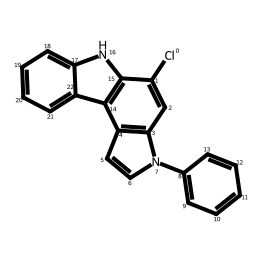 Clc1cc2c(ccn2-c2ccccc2)c2c1[nH]c1ccccc12